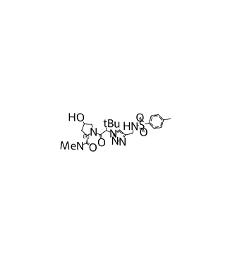 CNC(=O)[C@H]1CC(O)CN1C(=O)C(n1cc(CNS(=O)(=O)c2ccc(C)cc2)nn1)C(C)(C)C